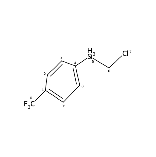 FC(F)(F)c1ccc([SiH2]CCl)cc1